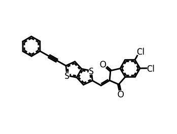 O=C1C(=Cc2cc3sc(C#Cc4ccccc4)cc3s2)C(=O)c2cc(Cl)c(Cl)cc21